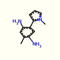 Cc1cc(N)c(-c2cccn2C)cc1N